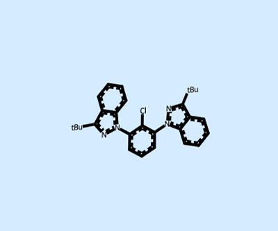 CC(C)(C)c1nn(-c2cccc(-n3nc(C(C)(C)C)c4ccccc43)c2Cl)c2ccccc12